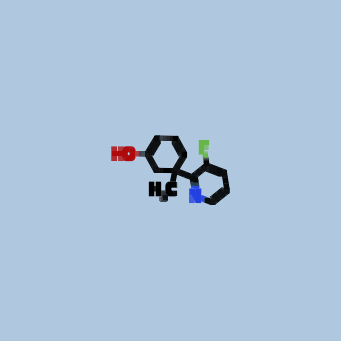 CC1(c2ncccc2F)C=CC=C(O)C1